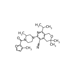 Cc1ccoc1C(=O)N1CCN(c2nc(C(C)C)c3c(c2C#N)CC(C)(C)OC3)CC1C